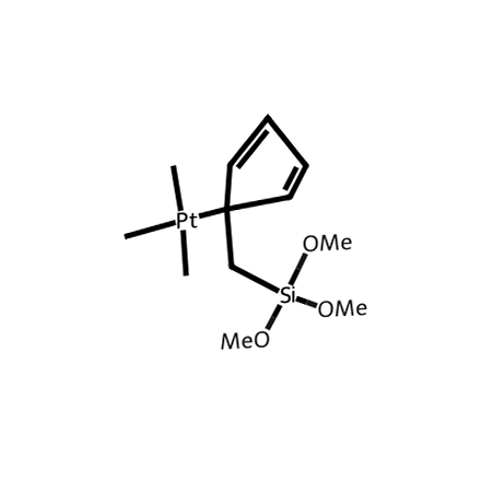 CO[Si](C[C]1([Pt]([CH3])([CH3])[CH3])C=CC=C1)(OC)OC